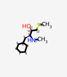 CN[C@@H](CC1CCCCC1)[C@@H](O)CSC